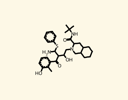 Cc1c(O)cccc1C(=O)C(C(O)CN1CC2CCCCC2CC1C(=O)NC(C)(C)C)C(N)Sc1ccccc1